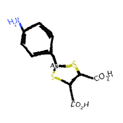 Nc1ccc([As]2SC(C(=O)O)C(C(=O)O)S2)cc1